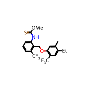 CCc1cc(C(F)(F)F)c(OCc2c(NC(=S)OC)cccc2C(F)(F)F)cc1C